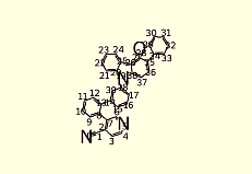 N#Cc1ccncc1-c1ccccc1-c1cccc(-n2c3ccccc3c3c4oc5ccccc5c4ccc32)c1